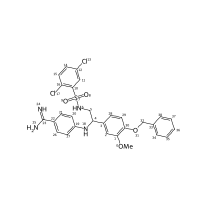 COc1cc(C(CNS(=O)(=O)c2cc(Cl)ccc2Cl)Nc2ccc(C(=N)N)cc2)ccc1OCc1ccccc1